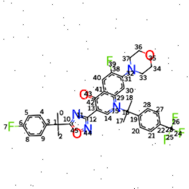 CC(C)(c1ccc(F)cc1)c1nc(-c2cn(C(C)(C)c3ccc(C(F)(F)F)cc3)c3cc(N4CCOCC4)c(F)cc3c2=O)no1